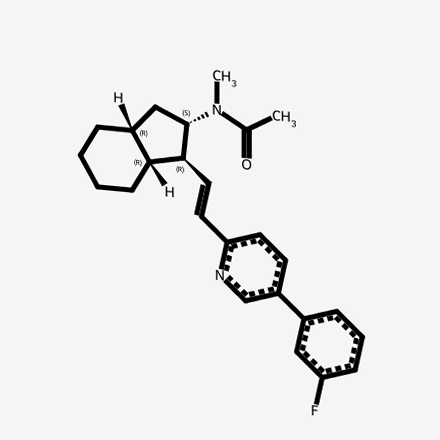 CC(=O)N(C)[C@H]1C[C@H]2CCCC[C@H]2[C@@H]1C=Cc1ccc(-c2cccc(F)c2)cn1